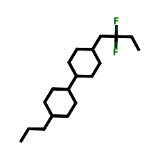 CCCC1CCC(C2CCC(CC(F)(F)CC)CC2)CC1